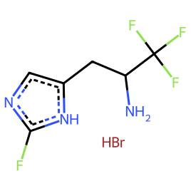 Br.NC(Cc1cnc(F)[nH]1)C(F)(F)F